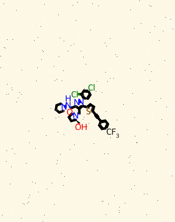 O=C(NN1CCCCC1)c1nn(-c2ccc(Cl)cc2Cl)c(-c2ccc(C#Cc3ccc(C(F)(F)F)cc3)s2)c1CN1CCC[C@@H]1CO